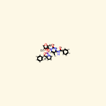 CC[C@@]12CO[C@@H](C1O[P@@]1O[C@H](c3ccccc3)[C@@H]3CCCN31)[C@H](n1cc(C)c(NC(=O)c3ccccc3)nc1=O)O2